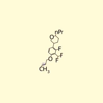 C/C=C/COc1ccc(C2CCC(CCC)OC2)c(F)c1C(F)F